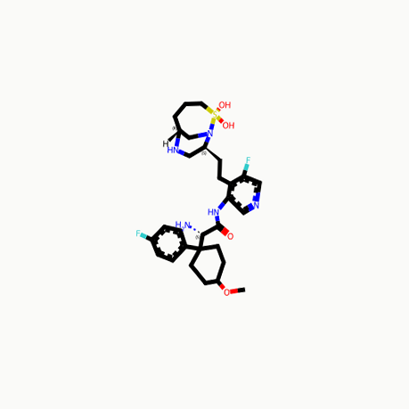 COC1CCC(c2ccc(F)cc2)([C@H](N)C(=O)Nc2cncc(F)c2CC[C@H]2CN[C@@H]3CCCS(O)(O)N2C3)CC1